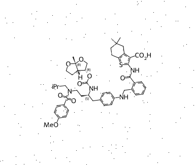 COc1ccc(S(=O)(=O)N(CC[C@H](Cc2ccc(NCc3ccccc3C(=O)Nc3sc4c(c3C(=O)O)CC(C)(C)CC4)cc2)NC(=O)O[C@H]2CO[C@@]3(C)OCC[C@@H]23)CC(C)C)cc1